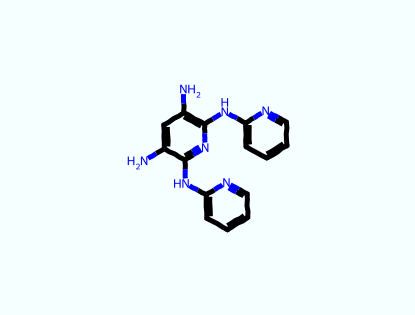 Nc1cc(N)c(Nc2ccccn2)nc1Nc1ccccn1